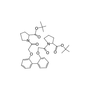 CC(C)(C)OC(=O)C1CCCN1C(=O)COc1ccccc1-c1ccccc1OCC(=O)N1CCCC1C(=O)OC(C)(C)C